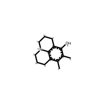 Cc1c(C)c2c3c(c1O)CCCN3CCC2